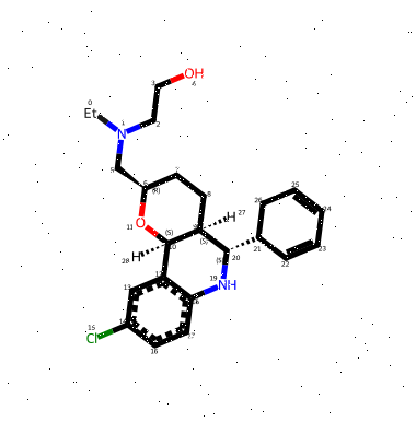 CCN(CCO)C[C@H]1CC[C@@H]2[C@H](O1)c1cc(Cl)ccc1N[C@H]2C1C=CC=CC1